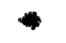 CC[C@H](C)[C@H](NC(=O)[C@H](Cc1ccc(O)cc1)NC(=O)[C@H](CSCc1ccccc1)NC(=O)OCc1ccccc1)C(=O)N[C@@H](CCC(N)=O)C(=O)N[C@@H](CC(N)=O)C(=O)N[C@@H](CSCc1ccccc1)C(=O)N1CCC[C@H]1C(=O)N[C@@H](CC(C)C)C(=O)NCC(N)=O